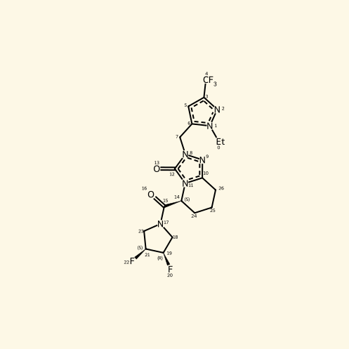 CCn1nc(C(F)(F)F)cc1Cn1nc2n(c1=O)[C@H](C(=O)N1C[C@@H](F)[C@@H](F)C1)CCC2